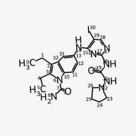 CCc1c(CC)n(C(N)=O)c2ccc(Nc3nc(NC(=O)NN4CCCC4)ncc3I)cc12